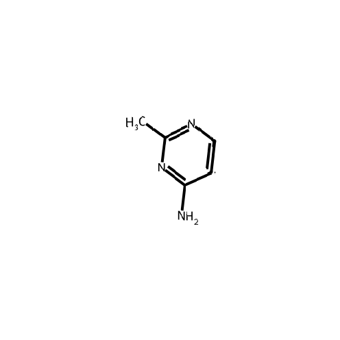 Cc1nc[c]c(N)n1